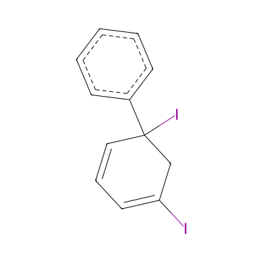 IC1=CC=CC(I)(c2ccccc2)C1